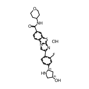 Cl.O=C(NC1CCOCC1)c1ccc2c(c1)sc1nc(-c3ccc([C@H]4C[C@@H](O)CN4)cc3F)cn12